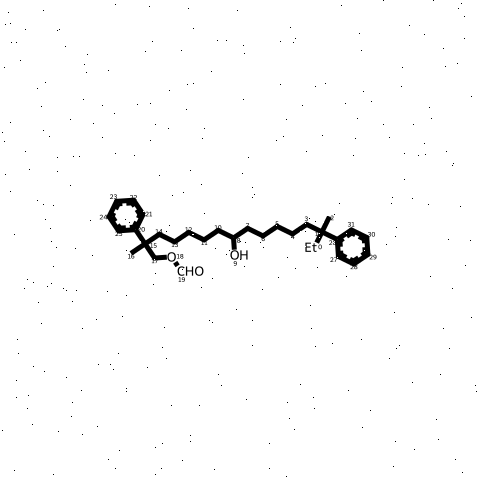 CCC(C)(CCCCCC(O)CCCCCC(C)(COC=O)c1ccccc1)c1ccccc1